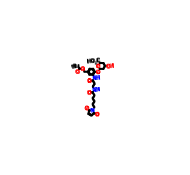 CC(C)(C)C(=O)OCc1ccc(O[C@H]2C[C@@H](O)C[C@@H](C(=O)O)O2)c(NC(=O)CCNC(=O)CCCCCN2C(=O)C=CC2=O)c1